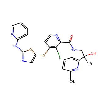 CCCC(O)(CNC(=O)c1nccc(Sc2cnc(Nc3ccccn3)s2)c1F)c1cccc(C)n1